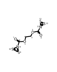 O=C(OCCOC(=O)n1ss1)n1ss1